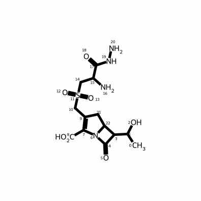 CC(O)C1C(=O)N2C(C(=O)O)=C(CS(=O)(=O)CC(N)C(=O)NN)CC12